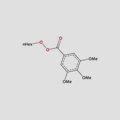 [CH2]CCCC[CH]OOC(=O)c1cc(OC)c(OC)c(OC)c1